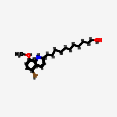 COc1ccc(Br)c2ccc(CCCCCCCCCCCO)nc12